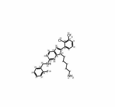 NCCCCCn1c(-c2cccc(C(F)(F)F)c2Cl)nc2cnc(NCc3ccccc3F)nc21